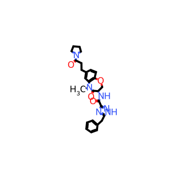 CN1C(=O)C(NC(=O)c2n[nH]c(Cc3ccccc3)n2)COc2ccc(CCC(=O)N3CCCC3)cc21